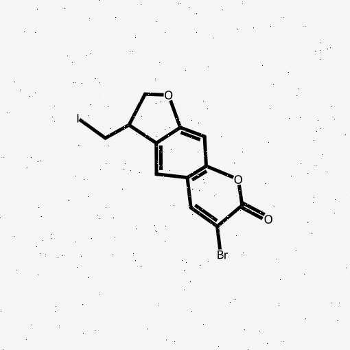 O=c1oc2cc3c(cc2cc1Br)C(CI)CO3